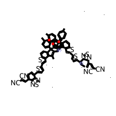 C=C(C=C(C#N)C#N)c1nsnc1/C(=C\C)c1ccc(-c2cc3c4c(ccc3s2)C(c2ccc(C)cc2)(c2ccc(C)cc2)C(=C)/C4=C\C2=C(C)c3c(ccc4sc(-c5ccc(-c6ccc(C=C(C#N)C#N)c7nsnc67)s5)cc34)C2(c2ccc(C)cc2)c2ccc(C)cc2)s1